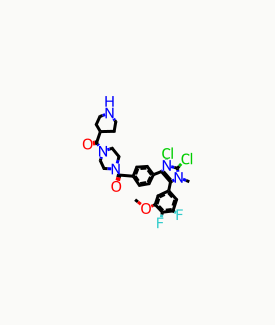 COc1cc(C2=C(c3ccc(C(=O)N4CCN(C(=O)C5CCNCC5)CC4)cc3)N(Cl)C(Cl)N2C)cc(F)c1F